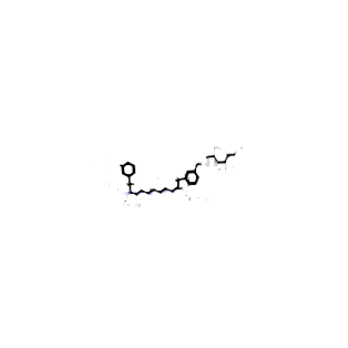 CCCCC\N=C(/C=C/C=C/C=C/C=C1/N(CCCCC)c2ccc(C(=O)NC[C@H](C)[C@@H](O)[C@H](C)[C@H](O)CO)cc2C1(C)C)C(C)(C)c1cccc(C(=O)O)c1